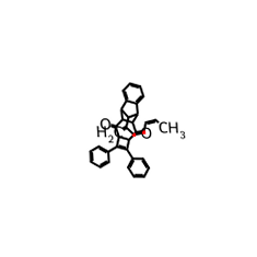 C=C(/C=C\C=C/C)C1C2c3ccccc3C1C1C(=O)C3C(c4ccccc4)=C(c4ccccc4)C3C(=O)C12